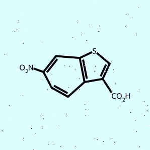 O=C(O)c1csc2cc([N+](=O)[O-])ccc12